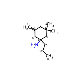 C=C1CC(C)(C)CC(N)(CCC)C1